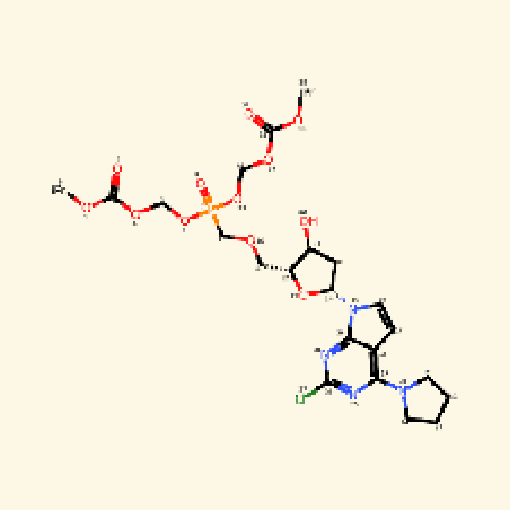 CC(C)OC(=O)OCOP(=O)(COC[C@H]1O[C@@H](n2ccc3c(N4CCCC4)nc(Cl)nc32)C[C@@H]1O)OCOC(=O)OC(C)C